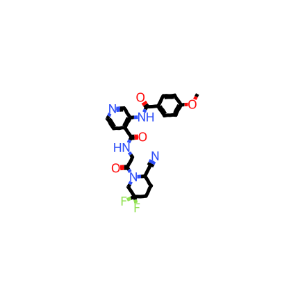 COc1ccc(C(=O)Nc2cnccc2C(=O)NCC(=O)N2CC(F)(F)CCC2C#N)cc1